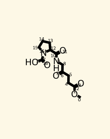 COC(=O)CCC(=O)CNC(=O)C1CCCN1C(=O)O